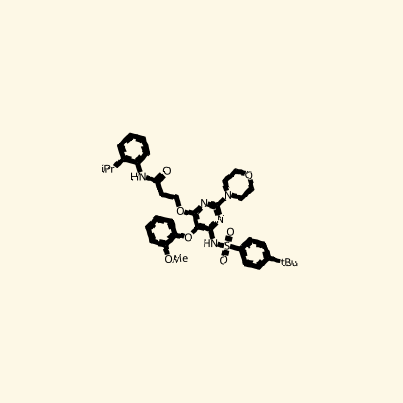 COc1ccccc1Oc1c(NS(=O)(=O)c2ccc(C(C)(C)C)cc2)nc(N2CCOCC2)nc1OCCC(=O)Nc1ccccc1C(C)C